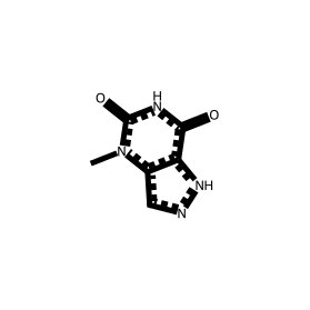 Cn1c(=O)[nH]c(=O)c2[nH]ncc21